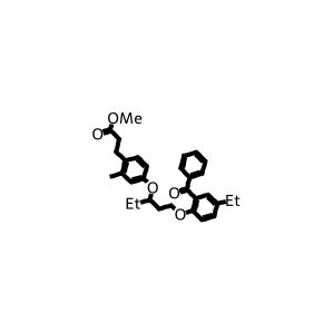 CCc1ccc(OCCC(CC)Oc2ccc(CCC(=O)OC)c(C)c2)c(C(=O)c2ccccc2)c1